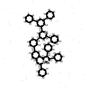 c1ccc(-c2cc(-c3ccccc3)cc(-c3cc(-c4cccc(-c5ccc6cc(-c7ccccc7)n7nc(-c8ccccc8)c(-c8ccccc8)c7c6c5)c4)cc(-c4ccccc4)n3)c2)cc1